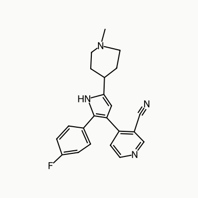 CN1CCC(c2cc(-c3ccncc3C#N)c(-c3ccc(F)cc3)[nH]2)CC1